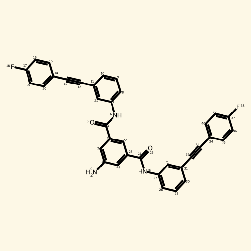 Nc1cc(C(=O)Nc2cccc(C#Cc3ccc(F)cc3)c2)cc(C(=O)Nc2cccc(C#Cc3ccc(F)cc3)c2)c1